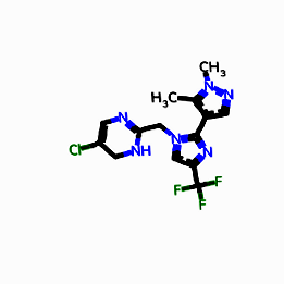 Cc1c(-c2nc(C(F)(F)F)cn2CC2=NC=C(Cl)CN2)cnn1C